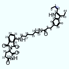 C/C=C\c1[nH]c2cc(CCC(=O)NCCCCCCNc3cccc4c3C(=O)N(C3CCC(=O)NC3=O)C4=O)ccc2c1CC